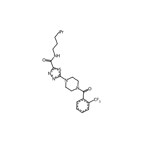 CC(C)CCCNC(=O)c1nnc(N2CCN(C(=O)c3ccccc3C(F)(F)F)CC2)s1